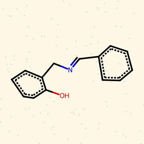 Oc1ccccc1CN=Cc1ccccc1